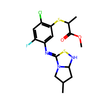 COC(=O)C(C)Sc1cc(N=C2SNC3CC(C)CN23)c(F)cc1Cl